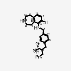 CC(C)CC(Cc1ccc(CNc2c(Cl)ccc3c2CCNCC3)cc1)[SH](=O)=O